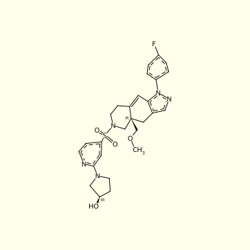 COC[C@]12Cc3cnn(-c4ccc(F)cc4)c3C=C1CCN(S(=O)(=O)c1ccnc(N3CC[C@@H](O)C3)c1)C2